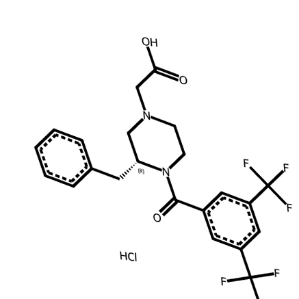 Cl.O=C(O)CN1CCN(C(=O)c2cc(C(F)(F)F)cc(C(F)(F)F)c2)[C@H](Cc2ccccc2)C1